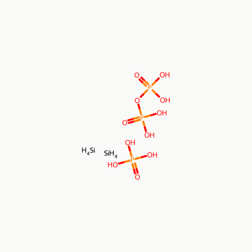 O=P(O)(O)O.O=P(O)(O)OP(=O)(O)O.[SiH4].[SiH4]